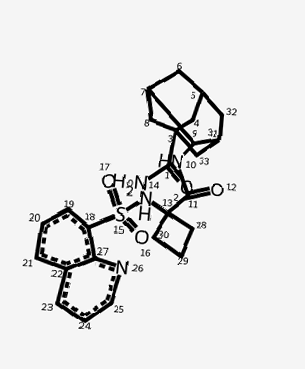 NC(=O)C12CC3CC(C1)C(NC(=O)C1(NS(=O)(=O)c4cccc5cccnc45)CCC1)C(C3)C2